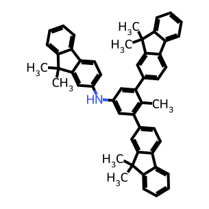 Cc1c(-c2ccc3c(c2)C(C)(C)c2ccccc2-3)cc(Nc2ccc3c(c2)C(C)(C)c2ccccc2-3)cc1-c1ccc2c(c1)C(C)(C)c1ccccc1-2